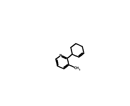 Cc1cccnc1C1C=CCCC1